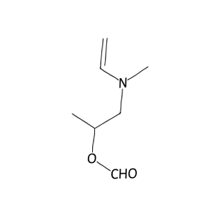 C=CN(C)CC(C)OC=O